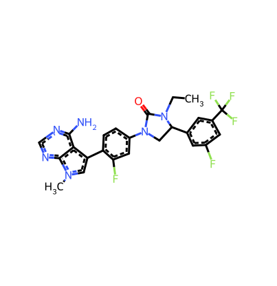 CCN1C(=O)N(c2ccc(-c3cn(C)c4ncnc(N)c34)c(F)c2)CC1c1cc(F)cc(C(F)(F)F)c1